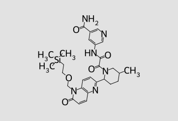 CC1CCC(c2ccc3c(ccc(=O)n3COCC[Si](C)(C)C)n2)N(C(=O)C(=O)Nc2cncc(C(N)=O)c2)C1